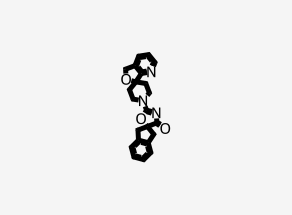 O=C1N=C(N2CCC3(CC2)OCc2cccnc23)OC12Cc1ccccc1C2